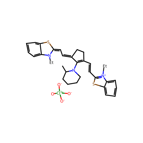 CCN1C(=CC=C2CCC(C=Cc3sc4ccccc4[n+]3CC)=C2N2CCCCC2C)Sc2ccccc21.[O-][Cl+3]([O-])([O-])[O-]